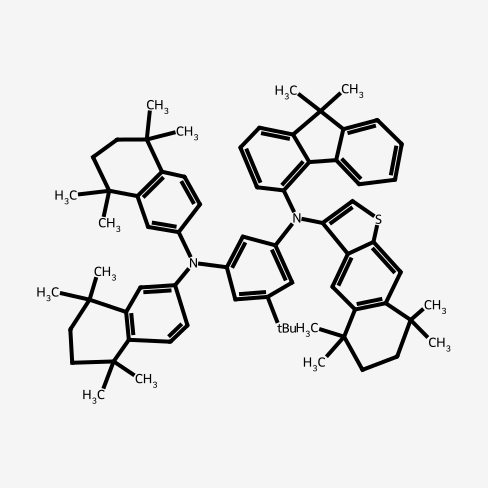 CC(C)(C)c1cc(N(c2ccc3c(c2)C(C)(C)CCC3(C)C)c2ccc3c(c2)C(C)(C)CCC3(C)C)cc(N(c2cccc3c2-c2ccccc2C3(C)C)c2csc3cc4c(cc23)C(C)(C)CCC4(C)C)c1